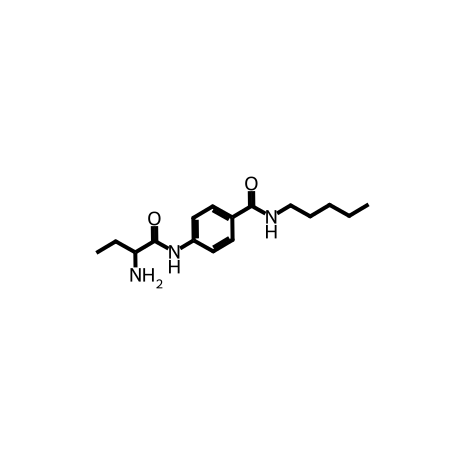 CCCCCNC(=O)c1ccc(NC(=O)C(N)CC)cc1